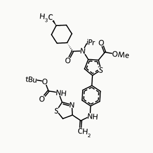 C=C(Nc1ccc(-c2cc(N(C(=O)[C@H]3CC[C@H](C)CC3)C(C)C)c(C(=O)OC)s2)cc1)C1CSC(NC(=O)OC(C)(C)C)=N1